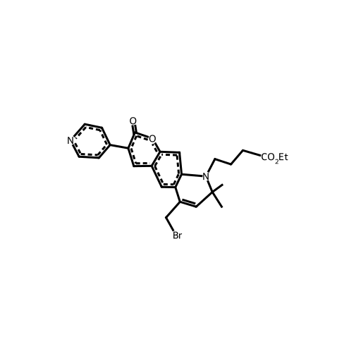 CCOC(=O)CCCN1c2cc3oc(=O)c(-c4ccncc4)cc3cc2C(CBr)=CC1(C)C